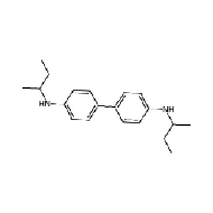 CCC(C)Nc1ccc(-c2ccc(NC(C)CC)cc2)cc1